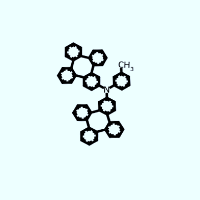 Cc1cccc(N(c2ccc3c(c2)-c2ccccc2-c2ccccc2-c2ccccc2-3)c2ccc3c(c2)-c2ccccc2-c2ccccc2-c2ccccc2-3)c1